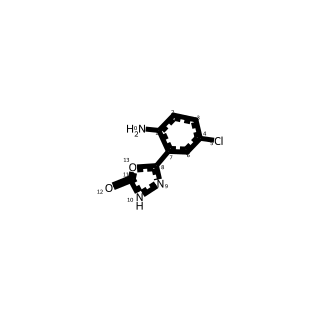 Nc1ccc(Cl)cc1-c1n[nH]c(=O)o1